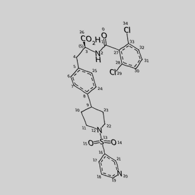 O=C(N[C@@H](Cc1ccc(C2CCN(S(=O)(=O)c3cccnc3)CC2)cc1)C(=O)O)c1c(Cl)cccc1Cl